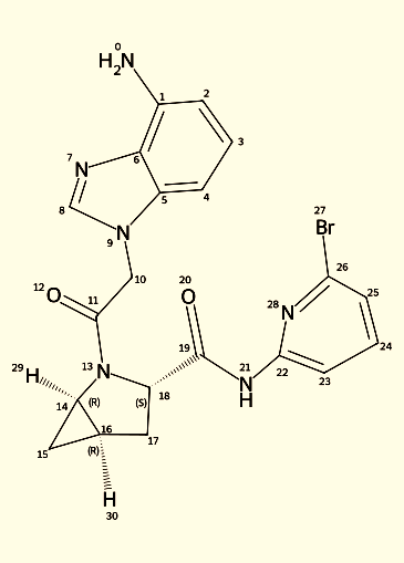 Nc1cccc2c1ncn2CC(=O)N1[C@@H]2C[C@@H]2C[C@H]1C(=O)Nc1cccc(Br)n1